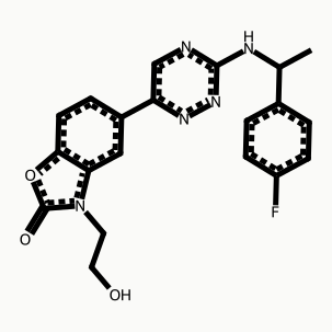 CC(Nc1ncc(-c2ccc3oc(=O)n(CCO)c3c2)nn1)c1ccc(F)cc1